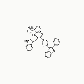 CC(C)(N)C(=O)N[C@H](Cc1c[nH]c2ccccc12)C(=O)N1CCC(n2c(-c3ccccc3)nc3ccccc32)CC1